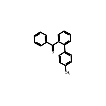 Cc1ccc(-c2ccccc2C(=S)c2ccccc2)cc1